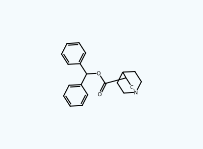 O=C(OC(c1ccccc1)c1ccccc1)C1CN2CCC1CC2